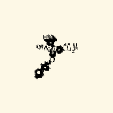 COc1cc(C)c2[nH]ccc2c1CN1CC[C@H](OCCCC2CCC(C3CCC(C)CC3)C2)C[C@H]1c1ccc(C(=O)O)cc1